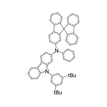 CC(C)(C)c1cc(-n2c3ccccc3c3ccc(N(c4ccccc4)c4ccc5c(c4)C4(c6ccccc6-c6ccccc64)c4ccccc4-5)cc32)cc(C(C)(C)C)c1